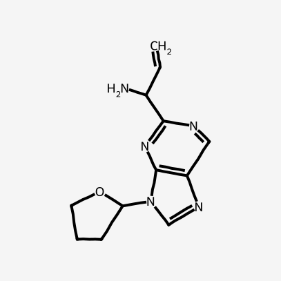 C=CC(N)c1ncc2ncn(C3CCCO3)c2n1